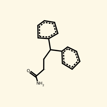 NC(=O)[CH]CC(c1ccccc1)c1ccccc1